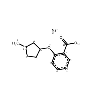 CN1CCC(Oc2ccncc2C(=O)[O-])C1.[Na+]